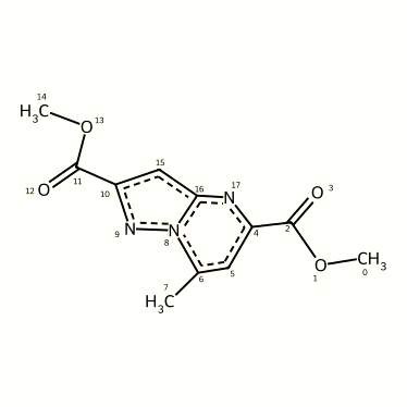 COC(=O)c1cc(C)n2nc(C(=O)OC)cc2n1